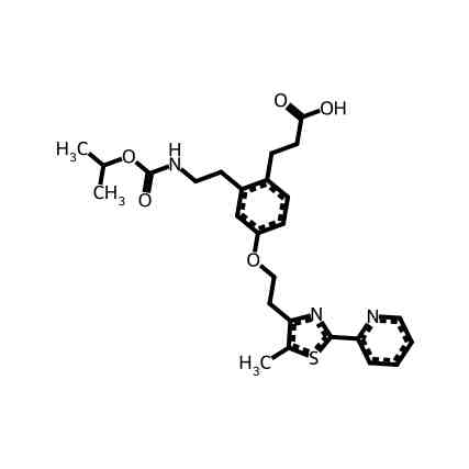 Cc1sc(-c2ccccn2)nc1CCOc1ccc(CCC(=O)O)c(CCNC(=O)OC(C)C)c1